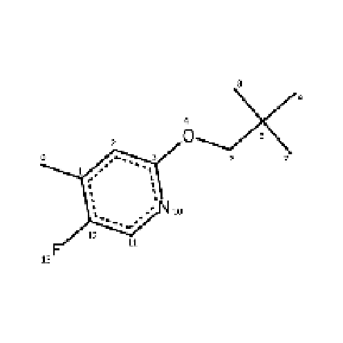 Cc1cc(OCC(C)(C)C)ncc1F